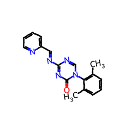 Cc1cccc(C)c1-n1cnc(N=Cc2ccccn2)nc1=O